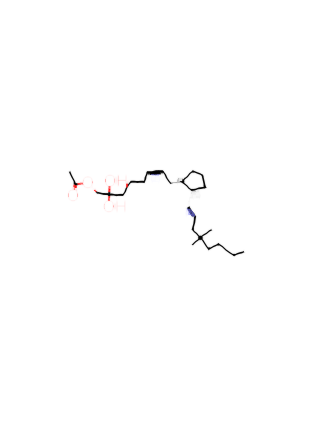 CCCCC(C)(C)C/C=C/[C@H]1CCC[C@@H]1C/C=C\CCCC(O)(O)COC(C)=O